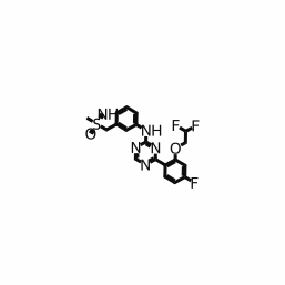 CS(=N)(=O)Cc1cccc(Nc2ncnc(-c3ccc(F)cc3OCC(F)F)n2)c1